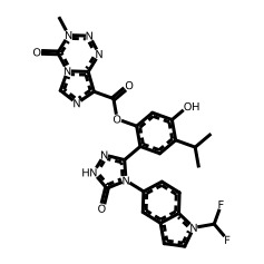 CC(C)c1cc(-c2n[nH]c(=O)n2-c2ccc3c(ccn3C(F)F)c2)c(OC(=O)c2ncn3c(=O)n(C)nnc23)cc1O